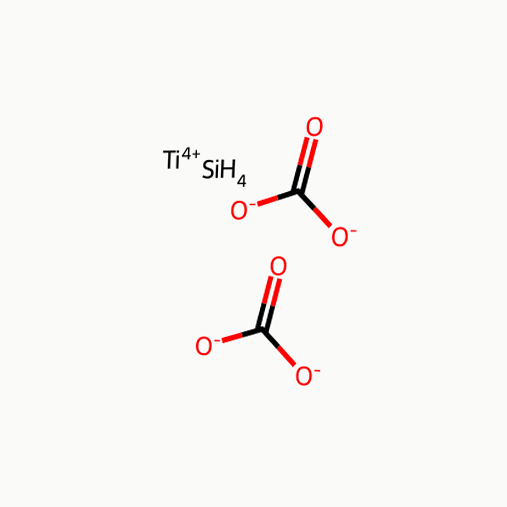 O=C([O-])[O-].O=C([O-])[O-].[SiH4].[Ti+4]